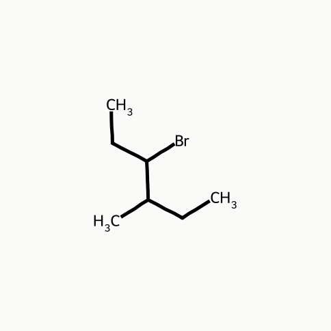 CCC(C)C(Br)CC